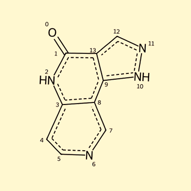 O=c1[nH]c2ccncc2c2[nH]ncc12